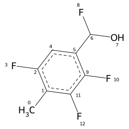 Cc1c(F)cc(C(O)F)c(F)c1F